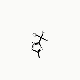 Cc1nc(C(F)(F)Cl)ns1